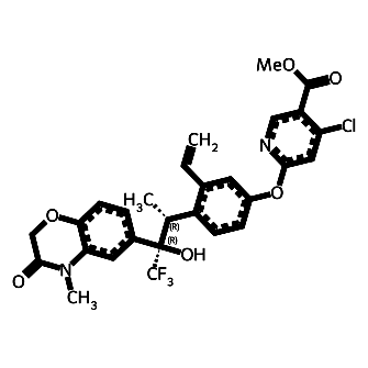 C=Cc1cc(Oc2cc(Cl)c(C(=O)OC)cn2)ccc1[C@@H](C)[C@@](O)(c1ccc2c(c1)N(C)C(=O)CO2)C(F)(F)F